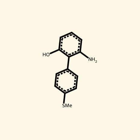 CSc1ccc(-c2c(N)cccc2O)cc1